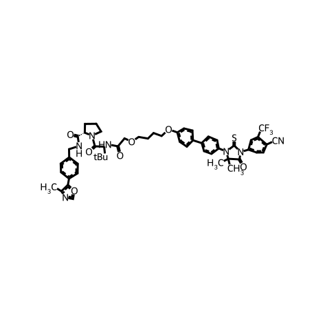 Cc1ncoc1-c1ccc(CNC(=O)[C@@H]2CCCN2C(=O)C(NC(=O)COCCCCOc2ccc(-c3ccc(N4C(=S)N(c5ccc(C#N)c(C(F)(F)F)c5)C(=O)C4(C)C)cc3)cc2)C(C)(C)C)cc1